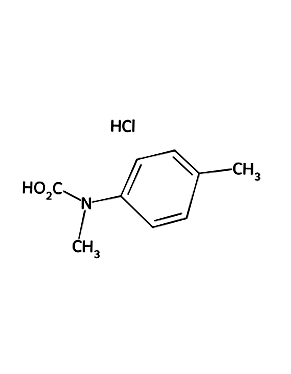 Cc1ccc(N(C)C(=O)O)cc1.Cl